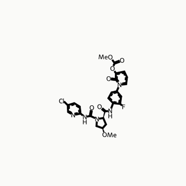 COC(=O)Oc1cccn(-c2ccc(NC(=O)[C@H]3C[C@@H](OC)CN3C(=O)Nc3ccc(Cl)cn3)c(F)c2)c1=O